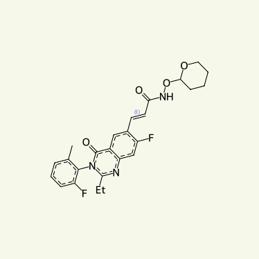 CCc1nc2cc(F)c(/C=C/C(=O)NOC3CCCCO3)cc2c(=O)n1-c1c(C)cccc1F